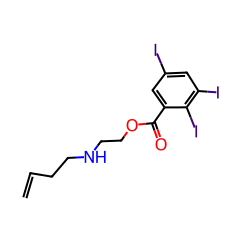 C=CCCNCCOC(=O)c1cc(I)cc(I)c1I